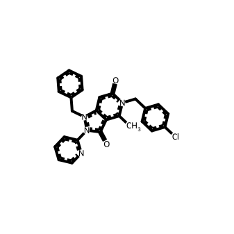 Cc1c2c(=O)n(-c3ccccn3)n(Cc3ccccc3)c2cc(=O)n1Cc1ccc(Cl)cc1